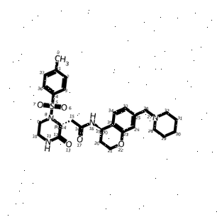 Cc1ccc(S(=O)(=O)N2CCNC(=O)[C@H]2CC(=O)N[C@@H]2CCOc3cc(CN4CCCCC4)ccc32)cc1